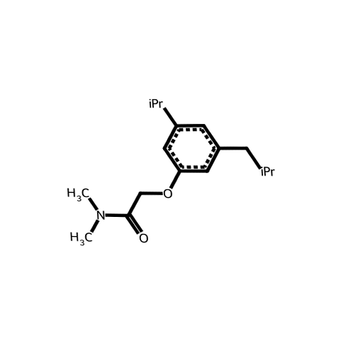 CC(C)Cc1cc(OCC(=O)N(C)C)cc(C(C)C)c1